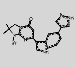 CC(C)N1c2nc(-c3c[nH]c4ccc(-c5cn[nH]c5)cc34)cc(=O)n2CC1(C)C